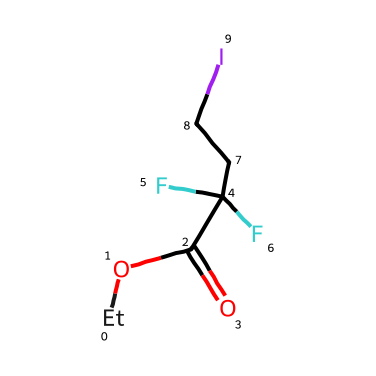 CCOC(=O)C(F)(F)CCI